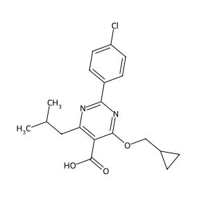 CC(C)Cc1nc(-c2ccc(Cl)cc2)nc(OCC2CC2)c1C(=O)O